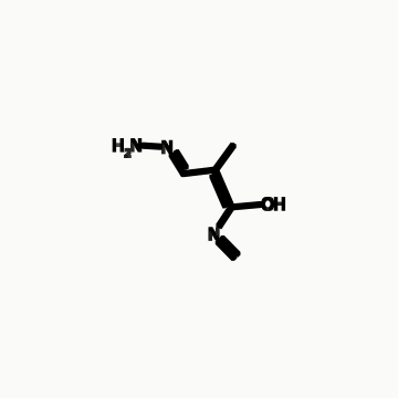 C=NC(O)=C(C)C=NN